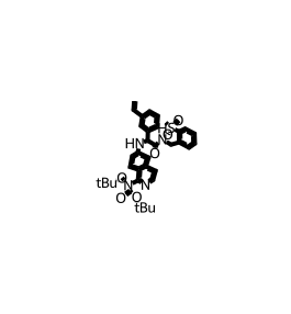 C=Cc1cccc(C(Nc2ccc3c(N(OC(C)(C)C)C(=O)OC(C)(C)C)nccc3c2)C(=O)NCc2ccccc2S(C)(=O)=O)c1